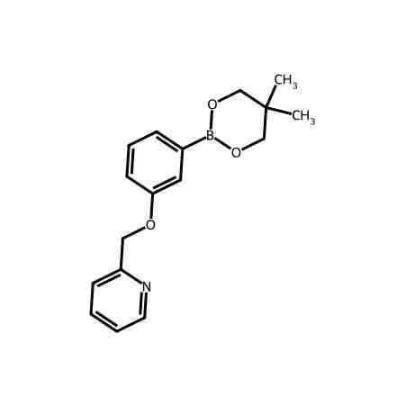 CC1(C)COB(c2cccc(OCc3ccccn3)c2)OC1